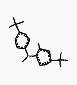 Cc1cc(C(C)(C)C)ccc1N(C)c1ccc(C(C)(C)C)cc1